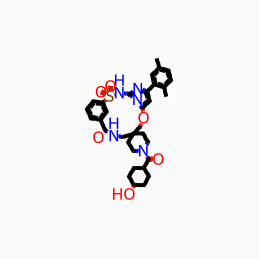 Cc1ccc(C)c(-c2cc3nc(n2)NS(=O)(=O)c2cccc(c2)C(=O)NCC2(CCN(C(=O)C4CCC(O)CC4)CC2)CO3)c1